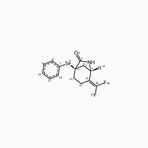 O=C1N[C@H]2C[C@]1([Se]c1ccccc1)CCC2=C(F)F